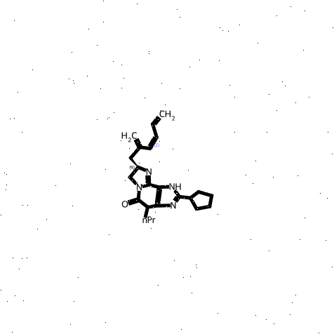 C=C/C=C\C(=C)C[C@@H]1CN2C(=O)C(CCC)c3nc(C4CCCC4)[nH]c3C2=N1